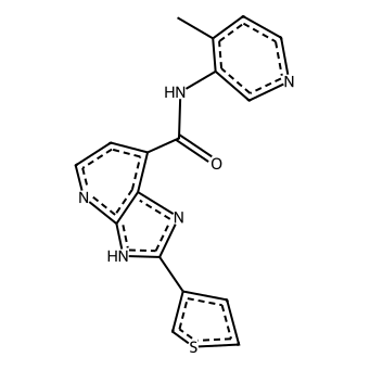 Cc1ccncc1NC(=O)c1ccnc2[nH]c(-c3ccsc3)nc12